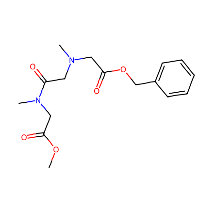 COC(=O)CN(C)C(=O)CN(C)CC(=O)OCc1ccccc1